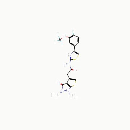 Cn1c(=O)c2c(CC(=O)Nc3nc(-c4ccc(F)c(OC(F)(F)F)c4)cs3)csc2n1C